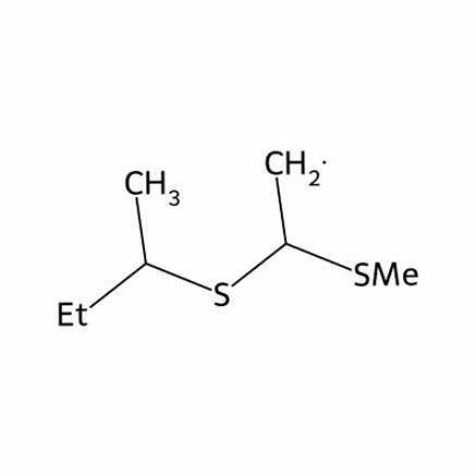 [CH2]C(SC)SC(C)CC